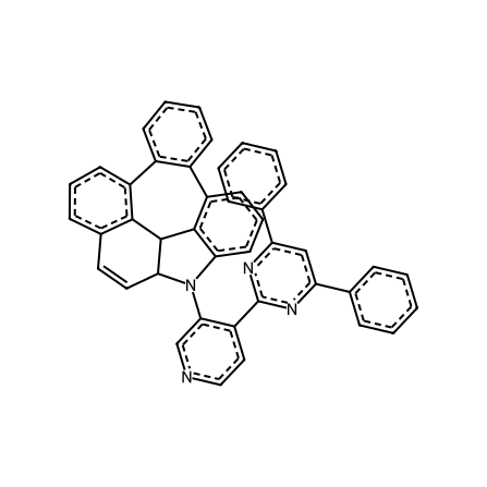 C1=CC2C3c4c1cccc4-c1ccccc1-c1cccc(c13)N2c1cnccc1-c1nc(-c2ccccc2)cc(-c2ccccc2)n1